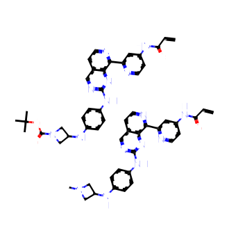 C=CC(=O)Nc1ccnc(-c2nccc3cnc(Nc4ccc(NC5CN(C(=O)OC(C)(C)C)C5)cc4)nc23)c1.C=CC(=O)Nc1ccnc(-c2nccc3cnc(Nc4ccc(NC5CN(C)C5)cc4)nc23)c1